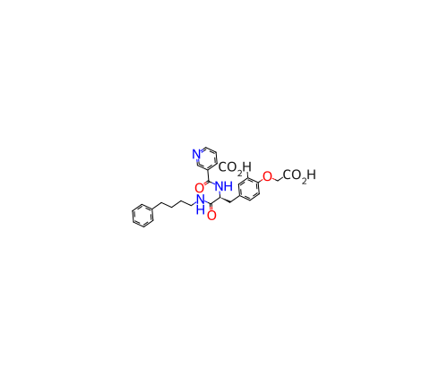 O=C(O)COc1ccc(C[C@H](NC(=O)c2cccnc2)C(=O)NCCCCc2ccccc2)cc1C(=O)O